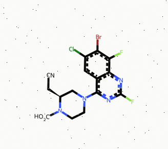 N#CC[C@H]1CN(c2nc(F)nc3c(F)c(Br)c(Cl)cc23)CCN1C(=O)O